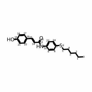 CCCCCCSc1ccc(NC(=O)C=Cc2ccc(O)cc2)cc1